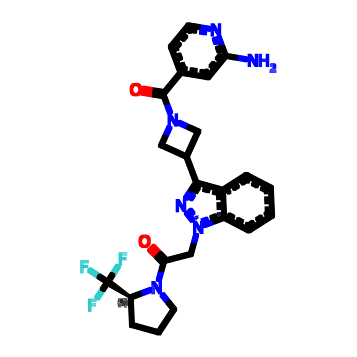 Nc1cc(C(=O)N2CC(c3nn(CC(=O)N4CCC[C@H]4C(F)(F)F)c4ccccc34)C2)ccn1